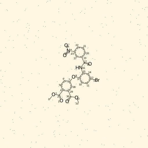 COC(=O)c1ccc(Oc2ccc(Br)cc2NC(=O)c2cccc([N+](=O)[O-])c2)cc1C(=O)OC